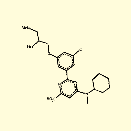 CNCC(O)COc1cc(Cl)cc(-c2nc(C(=O)O)cc(N(C)C3CCCCC3)n2)c1